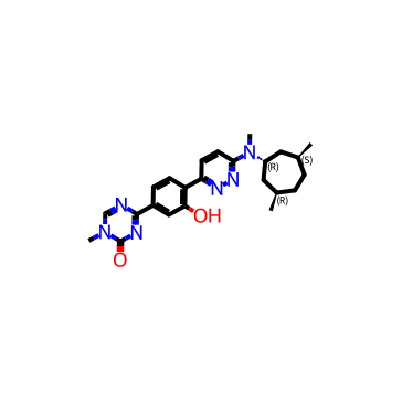 C[C@@H]1CC[C@H](C)C[C@@H](N(C)c2ccc(-c3ccc(-c4ncn(C)c(=O)n4)cc3O)nn2)C1